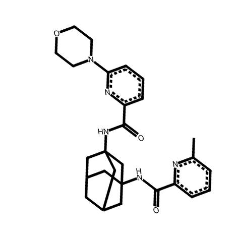 Cc1cccc(C(=O)NC23CC4CC(C2)CC(NC(=O)c2cccc(N5CCOCC5)n2)(C4)C3)n1